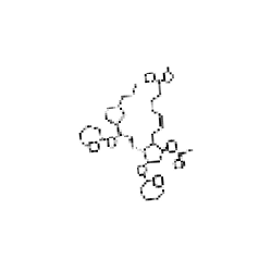 CCCC1CCC([C@@H](/C=C/[C@@H]2[C@@H](C/C=C\CCCC(=O)OC)[C@@H](OC(C)=O)C[C@H]2OC2CCCCO2)OC2CCCCO2)C1